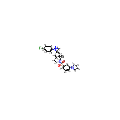 CC[C@]12Cc3cnn(-c4ccc(F)cc4)c3C=C1CCN(S(=O)(=O)c1cccc(N3CCCC3)c1)C2